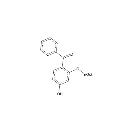 CCCCCCCCOc1cc(O)ccc1C(=O)c1ccccc1